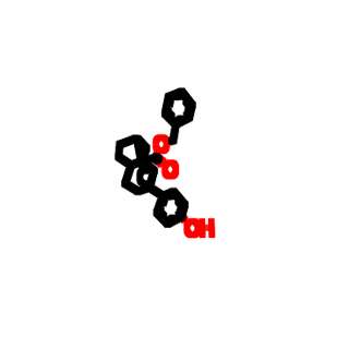 O=C(OCc1ccccc1)C12CC3CCC1CCC(c1ccc(O)cc1)(C3)C2